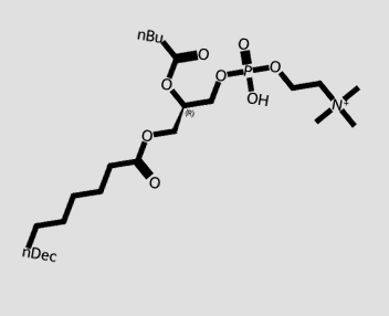 CCCCCCCCCCCCCCCC(=O)OC[C@H](COP(=O)(O)OCC[N+](C)(C)C)OC(=O)CCCC